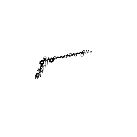 COC(=O)CCCOCCOCCOCCCCCCOc1cccc([C@@H](C)NC(=O)c2cccc(NCc3nnc(-c4ccncn4)n3C)c2)c1